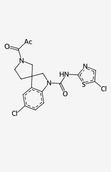 CC(=O)C(=O)N1CCC2(C1)CN(C(=O)Nc1ncc(Cl)s1)c1ccc(Cl)cc12